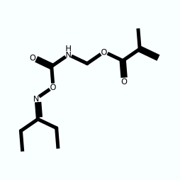 C=C(C)C(=O)OCNC(=O)ON=C(CC)CC